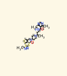 Cc1nnc(SCC(=O)N(Cc2ccsc2)C2CCN(C(C)CCNC(=O)c3c(C)ncnc3C)CC2)s1